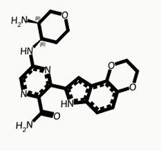 NC(=O)c1ncc(N[C@@H]2CCOC[C@@H]2N)nc1-c1cc2c3c(ccc2[nH]1)OCCO3